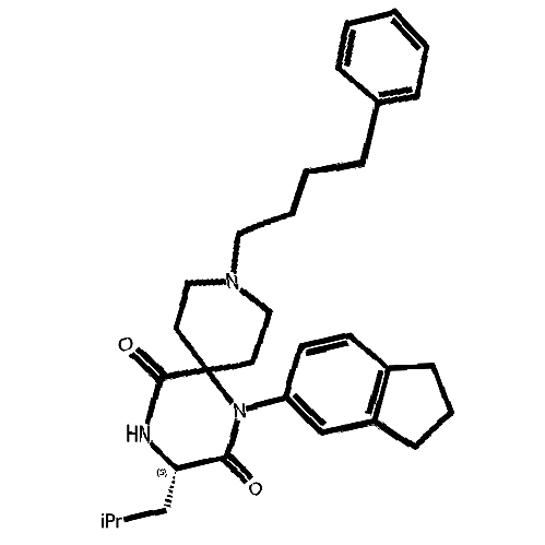 CC(C)C[C@@H]1NC(=O)C2(CCN(CCCCc3ccccc3)CC2)N(c2ccc3c(c2)CCC3)C1=O